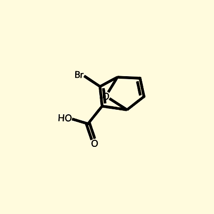 O=C(O)C1=C(Br)C2C=CC1O2